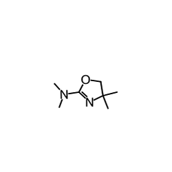 CN(C)C1=NC(C)(C)CO1